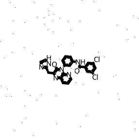 O=C(Nc1cccc(-n2c(=O)c(Cc3ncc[nH]3)nc3cccnc32)c1)c1cc(Cl)cc(Cl)c1